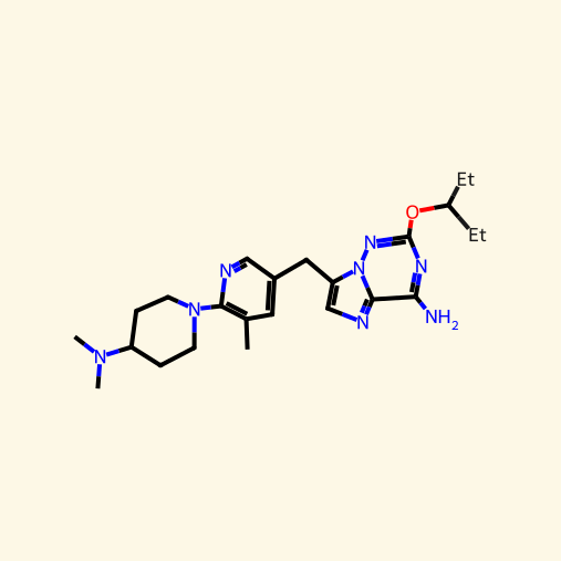 CCC(CC)Oc1nc(N)c2ncc(Cc3cnc(N4CCC(N(C)C)CC4)c(C)c3)n2n1